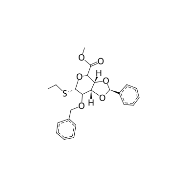 CCS[C@@H]1OC(C(=O)OC)[C@@H]2O[C@@H](c3ccccc3)O[C@@H]2C1OCc1ccccc1